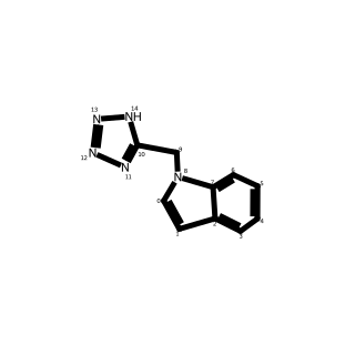 [c]1cc2ccccc2n1Cc1nnn[nH]1